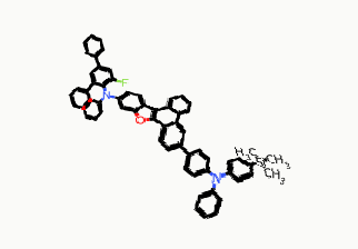 C[Si](C)(C)c1ccc(N(c2ccccc2)c2ccc(-c3ccc4c(c3)c3ccccc3c3c5ccc(N(c6ccccc6)c6c(F)cc(-c7ccccc7)cc6-c6ccccc6)cc5oc43)cc2)cc1